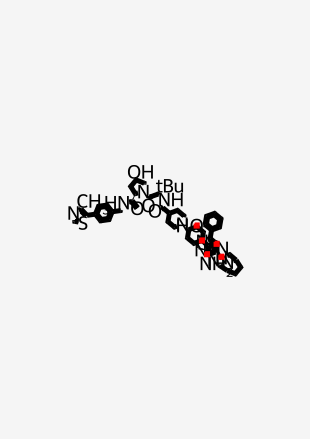 Cc1ncsc1-c1ccc(CNC(=O)[C@@H]2C[C@@H](O)CN2C(=O)[C@@H](NC(=O)C2CCN(C3CCC(c4cnc(N5C6CCC5CN(c5cc(-c7ccccc7O)nnc5N)C6)nc4)CC3)CC2)C(C)(C)C)cc1